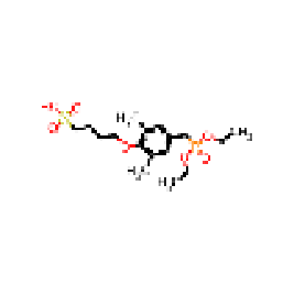 CCOP(=O)(Cc1cc(C)c(OCCCCS(=O)(=O)O)c(C)c1)OCC